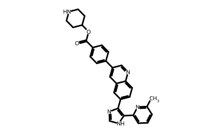 Cc1cccc(-c2[nH]cnc2-c2ccc3ncc(-c4ccc(C(=O)OC5CCNCC5)cc4)cc3c2)n1